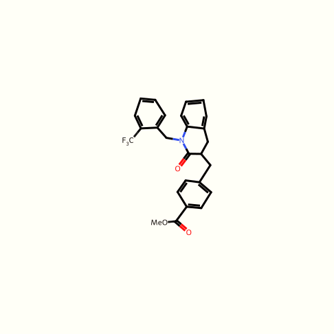 COC(=O)c1ccc(CC2Cc3ccccc3N(Cc3ccccc3C(F)(F)F)C2=O)cc1